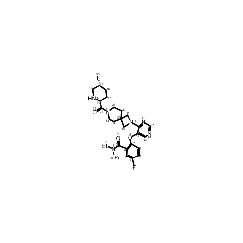 CCN(C(=O)c1cc(F)ccc1Oc1cncnc1N1CC2(CCN(C(=O)[C@@H]3CC[C@@H](F)CN3)CC2)C1)C(C)C